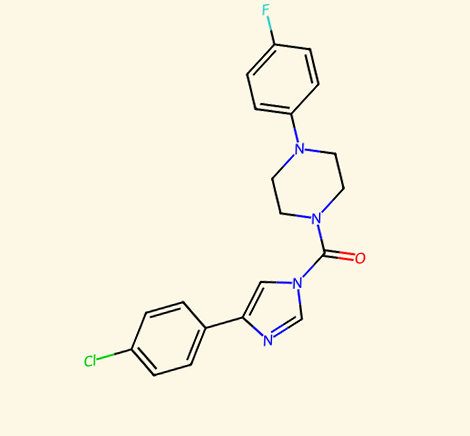 O=C(N1CCN(c2ccc(F)cc2)CC1)n1cnc(-c2ccc(Cl)cc2)c1